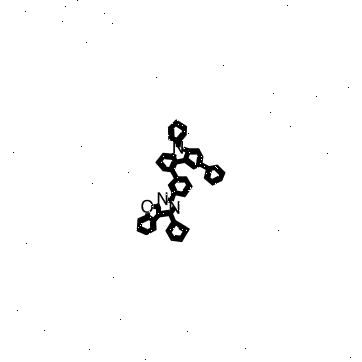 c1ccc(-c2ccc3c(c2)c2c(-c4cccc(-c5nc(-c6ccccc6)c6c(n5)oc5ccccc56)c4)cccc2n3-c2ccccc2)cc1